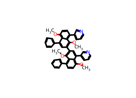 COc1ccc(-c2ccccc2)c2c(OC)c(-c3cc(-c4ccccc4)c4c(OC)ccc(-c5cccnc5)c4c3OC)cc(-c3cccnc3)c12